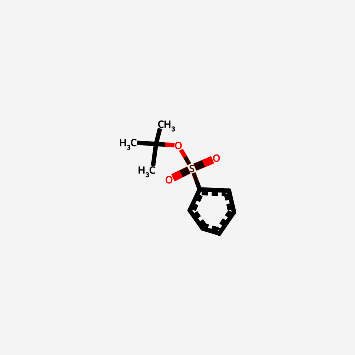 CC(C)(C)OS(=O)(=O)c1ccccc1